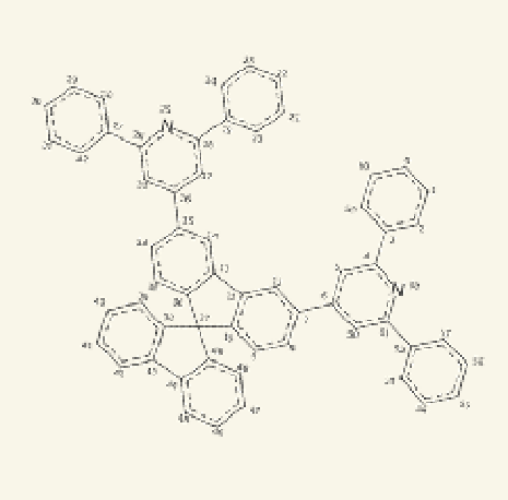 c1ccc(-c2cc(-c3ccc4c(c3)-c3cc(-c5cc(-c6ccccc6)nc(-c6ccccc6)c5)ccc3C43c4ccccc4-c4ccccc43)cc(-c3ccccc3)n2)cc1